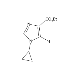 CCOC(=O)c1ncn(C2CC2)c1I